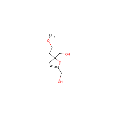 COCCC1(CO)CC=C(CO)O1